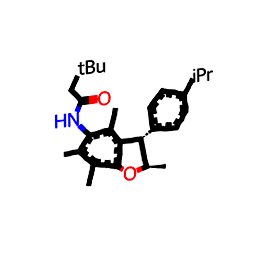 Cc1c(C)c2c(c(C)c1NC(=O)CC(C)(C)C)[C@H](c1ccc(C(C)C)cc1)[C@@H](C)O2